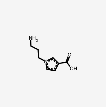 NCCCn1ccc(C(=O)O)c1